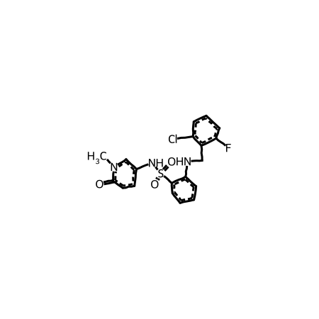 Cn1cc(NS(=O)(=O)c2ccccc2NCc2c(F)cccc2Cl)ccc1=O